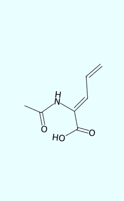 C=C/C=C(\NC(C)=O)C(=O)O